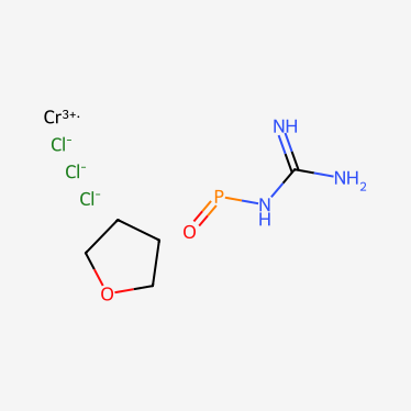 C1CCOC1.N=C(N)NP=O.[Cl-].[Cl-].[Cl-].[Cr+3]